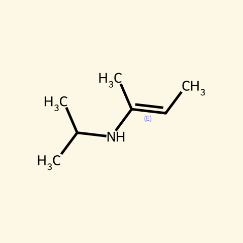 C/C=C(\C)NC(C)C